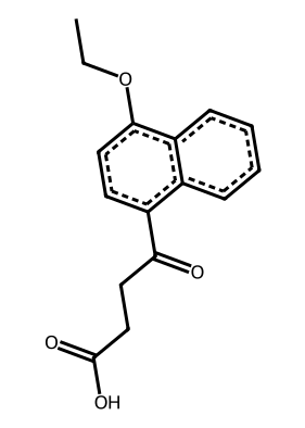 CCOc1ccc(C(=O)CCC(=O)O)c2ccccc12